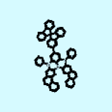 c1ccc(N2c3cc4ccc5ccccc5c4cc3B3c4cc5c(ccc6ccccc65)cc4N(c4ccccc4)c4cc(-c5ccc6c(c5)-c5ccccc5C65c6ccccc6-c6ccccc65)cc2c43)cc1